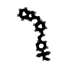 CCS(=O)(=O)N1CCN(CCc2ccc(Oc3nc4ccccc4s3)cc2)CC1